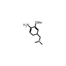 COC1=CC(CN(C)C)CC=C1N